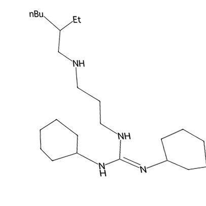 CCCCC(CC)CNCCCN/C(=N\C1CCCCC1)NC1CCCCC1